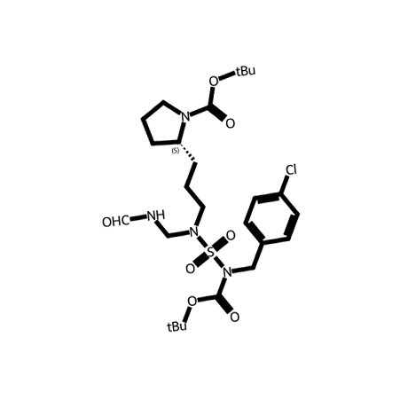 CC(C)(C)OC(=O)N1CCC[C@H]1CCCN(CNC=O)S(=O)(=O)N(Cc1ccc(Cl)cc1)C(=O)OC(C)(C)C